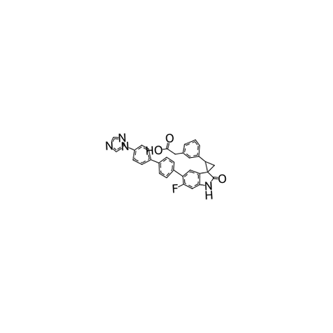 O=C(O)Cc1cccc(C2CC23C(=O)Nc2cc(F)c(-c4ccc(-c5ccc(-n6cncn6)cc5)cc4)cc23)c1